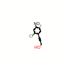 O=[N+]([O-])c1ccc(C#CCO)c(Cl)c1